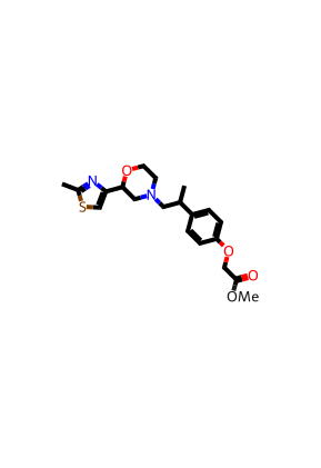 COC(=O)COc1ccc(C(C)CN2CCOC(c3csc(C)n3)C2)cc1